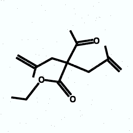 C=C(C)CC(CC(=C)C)(C(C)=O)C(=O)OCC